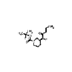 CCCC(=O)/C(F)=C1/CCCN(C(=O)OC(C)(C)C)C1